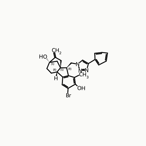 C=C1C[C@]23C[C@@]1(O)CC[C@H]2c1cc(Br)c(O)c(C)c1[C@@H]3Cn1cc(-c2ccccc2)nn1